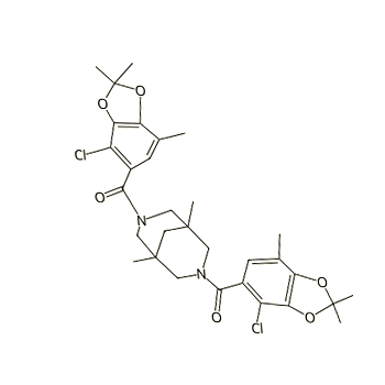 Cc1cc(C(=O)N2CC3(C)CN(C(=O)c4cc(C)c5c(c4Cl)OC(C)(C)O5)CC(C)(C2)C3)c(Cl)c2c1OC(C)(C)O2